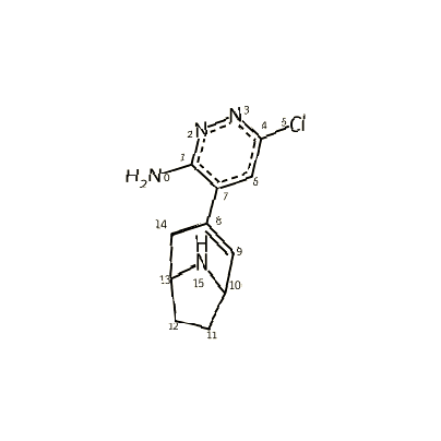 Nc1nnc(Cl)cc1C1=CC2CCC(C1)N2